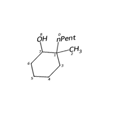 CCCCCC1(C)CCCCC1O